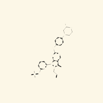 C=CCn1c(=O)c2cnc(Nc3ccc(N4CCN[C@H](C)C4)cc3)nc2n1-c1cccc(N=S(C)(C)=O)n1